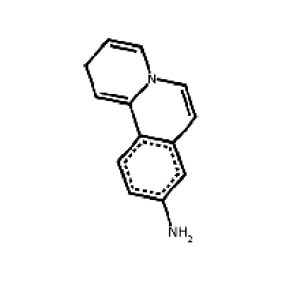 Nc1ccc2c(c1)C=CN1C=CCC=C21